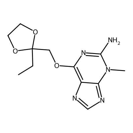 CCC1(COc2nc(N)n(C)c3ncnc2-3)OCCO1